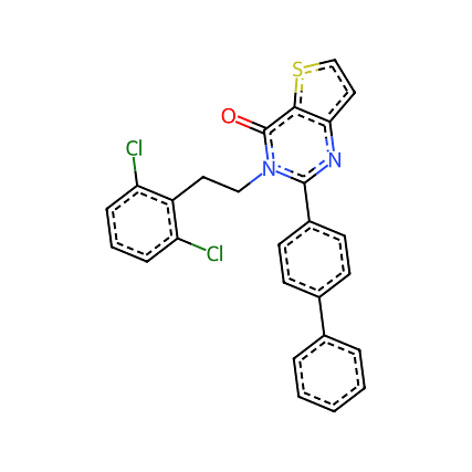 O=c1c2sccc2nc(-c2ccc(-c3ccccc3)cc2)n1CCc1c(Cl)cccc1Cl